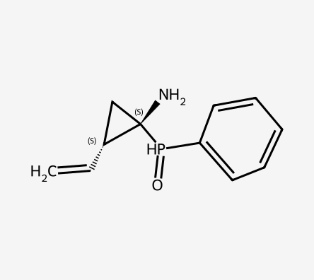 C=C[C@@H]1C[C@]1(N)[PH](=O)c1ccccc1